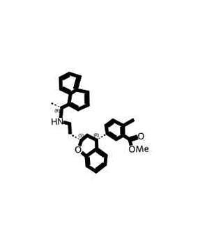 COC(=O)c1cc([C@H]2C[C@@H](CCN[C@H](C)c3cccc4ccccc34)Oc3ccccc32)ccc1C